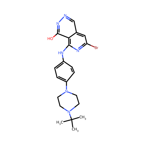 CC(C)(C)N1CCN(c2ccc(Nc3nc(Br)cc4cnnc(O)c34)cc2)CC1